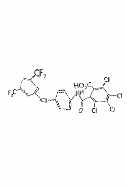 O=C(O)c1c(Cl)c(Cl)c(Cl)c(Cl)c1C(=O)Nc1ccc(Oc2cc(C(F)(F)F)cc(C(F)(F)F)c2)cc1